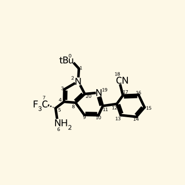 CC(C)(C)Cn1cc([C@H](N)C(F)(F)F)c2ccc(-c3ccccc3C#N)nc21